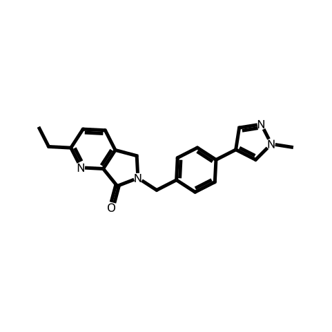 CCc1ccc2c(n1)C(=O)N(Cc1ccc(-c3cnn(C)c3)cc1)C2